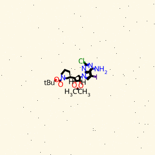 CC(C)(C)OC(=O)N1CCC[C@@H]([C@H]2C[C@@H](n3cc(I)c4c(N)nc(Cl)nc43)[C@@H]3OC(C)(C)O[C@H]23)C1